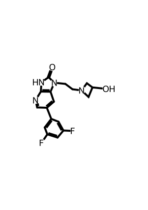 O=c1[nH]c2ncc(-c3cc(F)cc(F)c3)cc2n1CCN1CC(O)C1